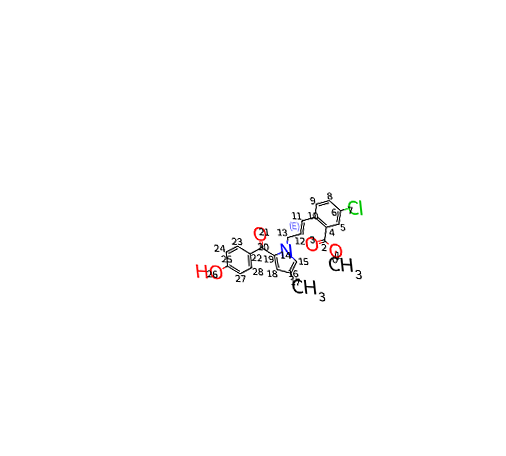 COC(=O)c1cc(Cl)ccc1/C=C/Cn1cc(C)cc1C(=O)c1ccc(O)cc1